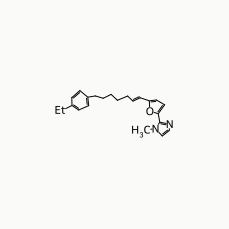 CCc1ccc(CCCCC/C=C/c2ccc(-c3nccn3C)o2)cc1